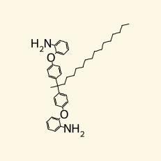 CCCCCCCCCCCCCCCC(C)(c1ccc(Oc2ccccc2N)cc1)c1ccc(Oc2ccccc2N)cc1